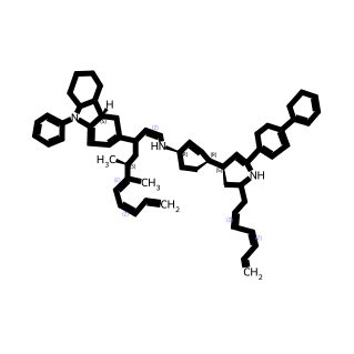 C=C/C=C\C=C/CC1C[C@@H]([C@@H]2C=C[C@H](N/C=C\C(C[C@H](C)/C(C)=C/C=C\C=C)C3=CC=C4[C@@H](C3)C3CCCCC3N4c3ccccc3)CC2)C=C(C2=CC=C(C3=CC=CCC3)CC2)N1